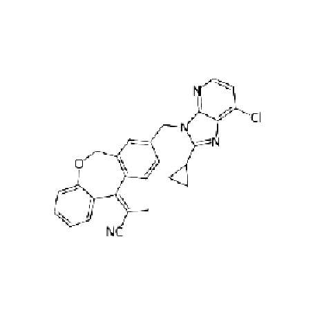 C/C(C#N)=C1\c2ccc(Cn3c(C4CC4)nc4c(Cl)ccnc43)cc2COc2ccccc21